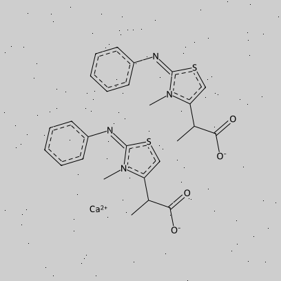 CC(C(=O)[O-])c1cs/c(=N/c2ccccc2)n1C.CC(C(=O)[O-])c1cs/c(=N/c2ccccc2)n1C.[Ca+2]